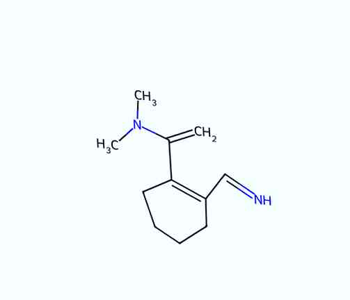 C=C(C1=C(C=N)CCCC1)N(C)C